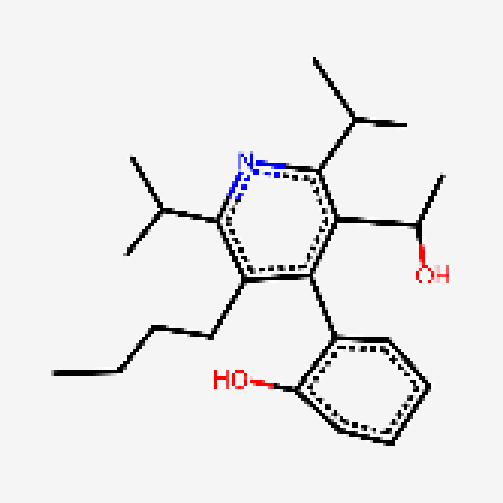 CCCCc1c(C(C)C)nc(C(C)C)c(C(C)O)c1-c1ccccc1O